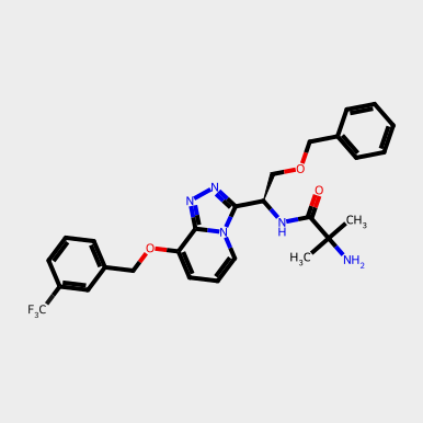 CC(C)(N)C(=O)N[C@H](COCc1ccccc1)c1nnc2c(OCc3cccc(C(F)(F)F)c3)cccn12